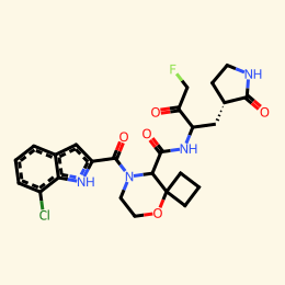 O=C(CF)C(C[C@@H]1CCNC1=O)NC(=O)C1N(C(=O)c2cc3cccc(Cl)c3[nH]2)CCOC12CCC2